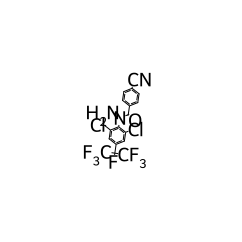 N#Cc1ccc(C(=O)N(N)c2c(Cl)cc(C(F)(C(F)(F)F)C(F)(F)F)cc2Cl)cc1